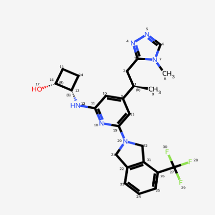 C[C@H](Cc1nncn1C)c1cc(N[C@H]2CC[C@H]2O)nc(N2Cc3cccc(C(F)(F)F)c3C2)c1